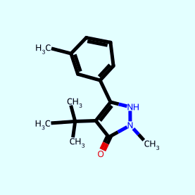 Cc1cccc(-c2[nH]n(C)c(=O)c2C(C)(C)C)c1